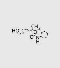 CC(C=CC(=O)O)OC(=O)NC1CCCCC1